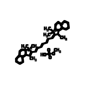 CC1=C(C=CC=CC=CC=C2C(C)c3c(ccc4ccccc34)[N+]2(C)C)[N+](C)(C)c2ccc3ccccc3c21.COS(=O)(=O)O